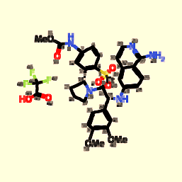 CCS(=O)(=O)c1ccc(NC(=O)OC)cc1[C@H]1CCCN1C(=O)[C@H](Nc1ccc2c(N)nccc2c1)c1ccc(OC)c(OC)c1.O=C(O)C(F)(F)F